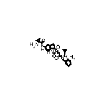 C[C@@H](C1CC1)N(Cc1ccccc1)C(=O)CN1C(=O)N[C@]2(C=Cc3cc(NC(=O)C4(N)CC4)ccc32)C1=O